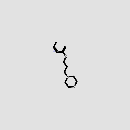 C=C(/C=C\C)OCCCN1CCOCC1